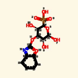 O=S(=O)(O)C1O[C@@H](O)[C@H](O)[C@@H](Oc2nc3ccccc3o2)[C@@H]1O